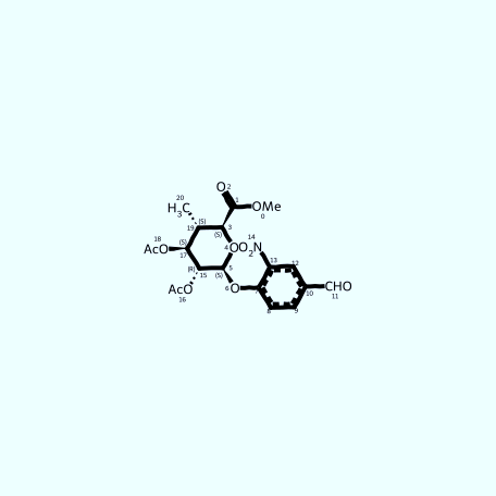 COC(=O)[C@H]1O[C@@H](Oc2ccc(C=O)cc2[N+](=O)[O-])[C@H](OC(C)=O)[C@@H](OC(C)=O)[C@@H]1C